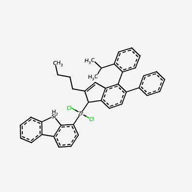 CCCCC1=Cc2c(ccc(-c3ccccc3)c2-c2ccccc2C(C)C)[CH]1[Zr]([Cl])([Cl])[c]1cccc2c1[SiH2]c1ccccc1-2